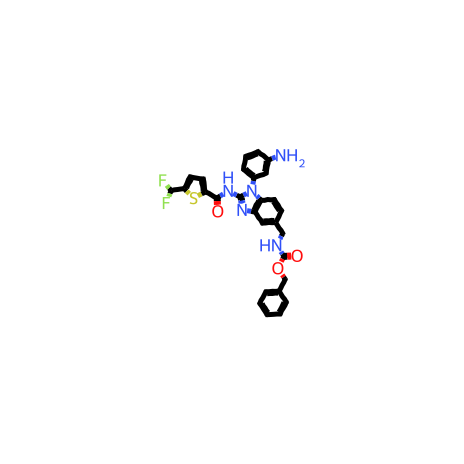 Nc1cccc(-n2c(NC(=O)c3ccc(C(F)F)s3)nc3cc(CNC(=O)OCc4ccccc4)ccc32)c1